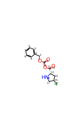 O=C(OCc1ccccc1)OC(=O)[C@@H]1CC(F)CN1